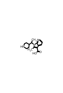 Cc1c(C(=O)O)c2cccnc2n1C(C)C1CCNCC1